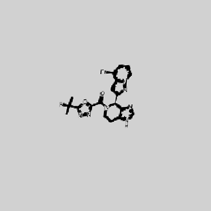 CCc1cccn2nc([C@H]3c4nc[nH]c4CCN3C(=O)c3nnc(C(C)(C)F)o3)cc12